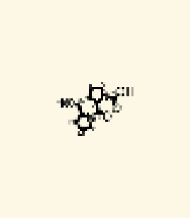 O=C(C1CCCN1C(=O)O)N1CCCC1CO